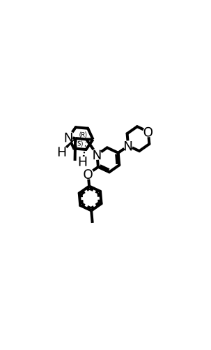 Cc1ccc(OC2=CC=C(N3CCOCC3)CN2[C@@H]2C3CCN(CC3)[C@H]2C)cc1